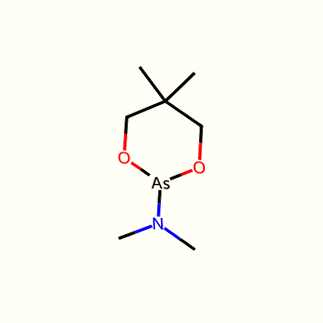 CN(C)[As]1OCC(C)(C)CO1